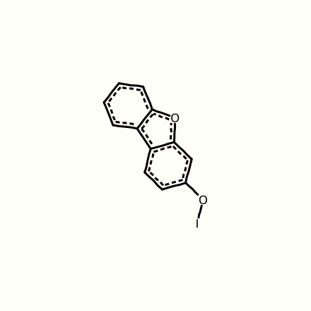 IOc1ccc2c(c1)oc1ccccc12